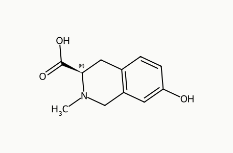 CN1Cc2cc(O)ccc2C[C@@H]1C(=O)O